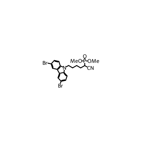 COP(=O)(OC)C(C#N)CCCCn1c2ccc(Br)cc2c2cc(Br)ccc21